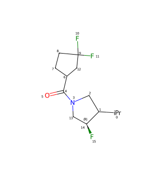 CC(C)C1CN(C(=O)C2CCC(F)(F)C2)C[C@@H]1F